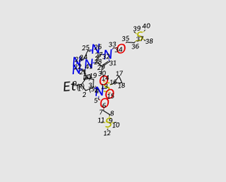 CC[C@@H]1C[C@H](N(COCCS(C)(C)C)S(=O)(=O)C2CC2)C[C@@H]1c1nnc2cnc3c(c(C)cn3COCCS(C)(C)C)n12